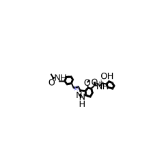 COc1c(C(=O)N[C@H](CO)c2ccccc2)ccc2[nH]nc(/C=C/c3cccc(CNC(C)=O)c3)c12